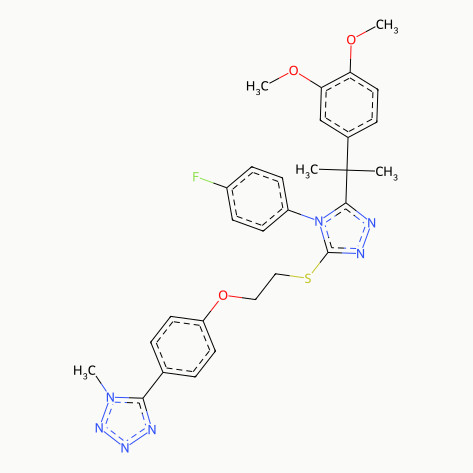 COc1ccc(C(C)(C)c2nnc(SCCOc3ccc(-c4nnnn4C)cc3)n2-c2ccc(F)cc2)cc1OC